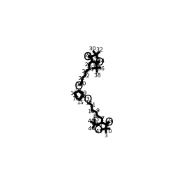 CC(C)(C)C(=O)C(CCCCCCOc1cccc(OCCCCCCC(C(=O)C(C)(C)C)C(=O)C(C)(C)C)c1)C(=O)C(C)(C)C